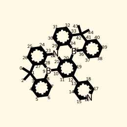 CC1(C)c2ccccc2B2c3cc(-c4ccncc4)cc4c3N(c3cccc1c32)c1cccc2c1B4c1ccccc1C2(C)C